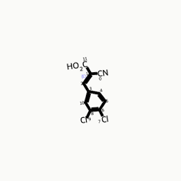 N#C/C(=C\c1ccc(Cl)c(Cl)c1)C(=O)O